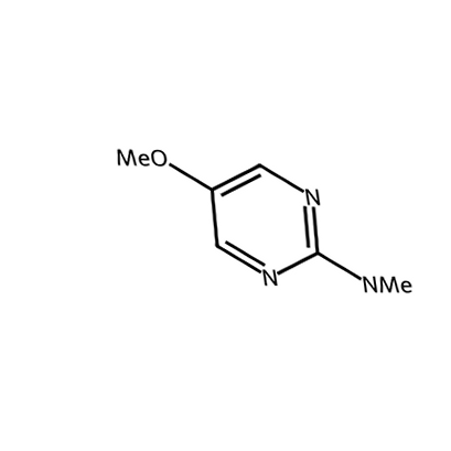 CNc1ncc(OC)cn1